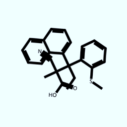 CCC(c1ccccc1SC)(c1cccc2ccccc12)C(C)(C#N)C(=O)O